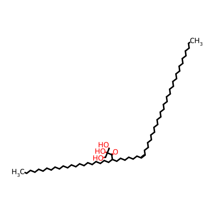 CCCCCCCCCCCCCCCCCCCCCCCCCCCCCC/C=C\CCCCCCC(CCCCCCCCCCCCCCCCCCCCCC)C(=O)C(O)(CO)CO